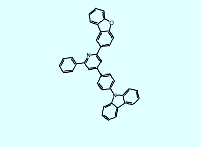 c1ccc(-c2cc(-c3ccc(-n4c5ccccc5c5ccccc54)cc3)cc(-c3ccc4oc5ccccc5c4c3)n2)cc1